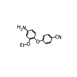 CCOc1cc(N)ccc1Oc1ccc(C#N)cc1